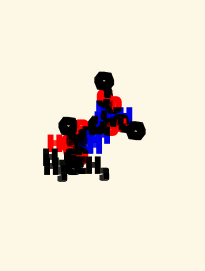 CC(C)(C)OC(=O)N[C@H](C(=O)NC1CCN(C(=NC(=O)OCc2ccccc2)NC(=O)OCc2ccccc2)CC1)[C@H](O)c1ccccc1